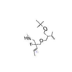 C=C(C)C(COCC(F)(/C=C/C)CNC)COC(C)(C)C